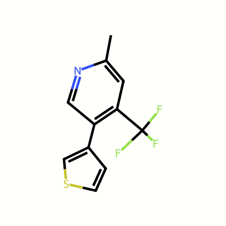 Cc1cc(C(F)(F)F)c(-c2ccsc2)cn1